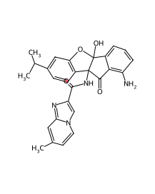 Cc1ccn2cc(C(=O)NC34C(=O)c5c(N)cccc5C3(O)Oc3cc(C(C)C)ccc34)nc2c1